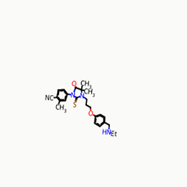 CCNCc1ccc(OCCCN2C(=S)N(c3ccc(C#N)c(C)c3)C(=O)C2(C)C)cc1